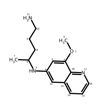 COc1cc(NC(C)CCCN)cc2cccnc12